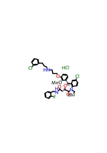 COc1c(OCCCNCCCc2cccc(Cl)c2)cccc1[C@@H]1O[C@@H](CC(=O)NCc2ccccc2F)C(=O)N(CC(C)(C)C)c2ccc(Cl)cc21.Cl